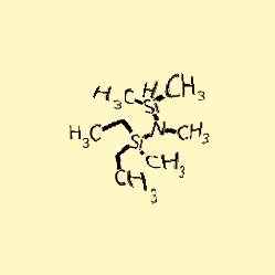 CC[Si](C)(CC)N(C)[SiH](C)C